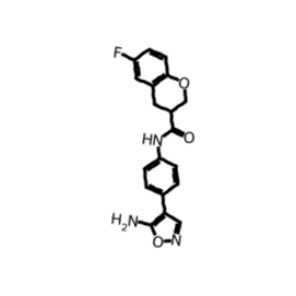 Nc1oncc1-c1ccc(NC(=O)C2COc3ccc(F)cc3C2)cc1